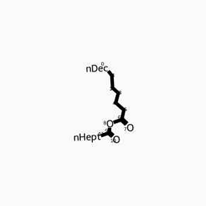 CCCCCCCCCCCCCCCC(=O)OC(=O)CCCCCCC